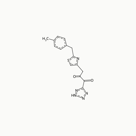 Cc1ccc(Cc2nc(CC(=O)C(=O)c3nn[nH]n3)cs2)cc1